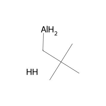 CC(C)(C)[CH2][AlH2].[HH]